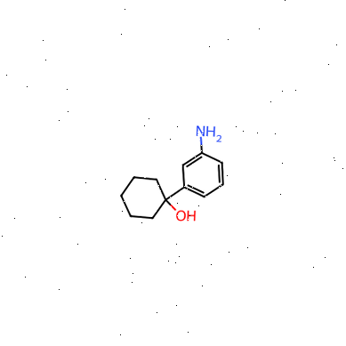 Nc1cccc(C2(O)CCCCC2)c1